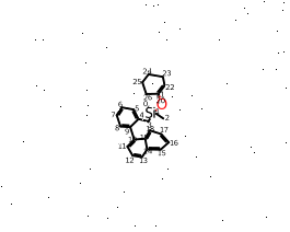 C[Si](C)(Cc1ccccc1-c1cccc2ccccc12)OC1=CCCCC1